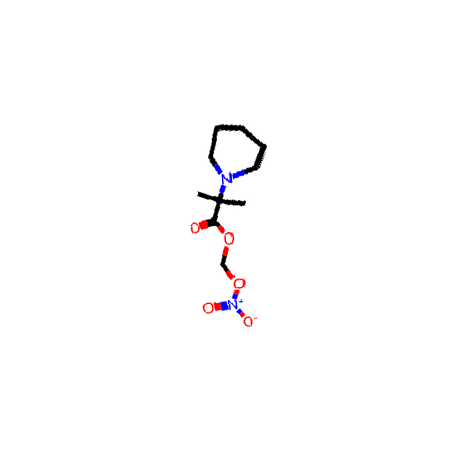 CC(C)(C(=O)OCO[N+](=O)[O-])N1CCCCC1